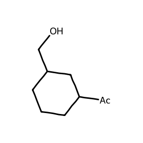 CC(=O)C1CCCC(CO)C1